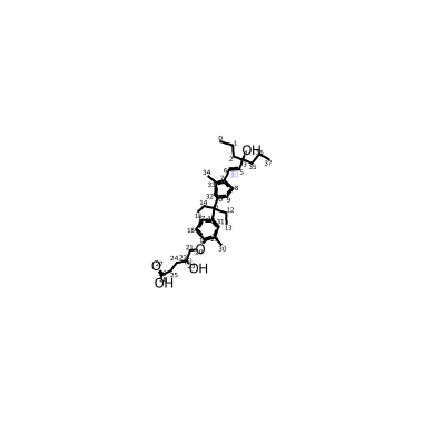 CCCC(O)(/C=C/c1ccc(C(CC)(CC)c2ccc(OC[C@@H](O)CCC(=O)O)c(C)c2)cc1C)CCC